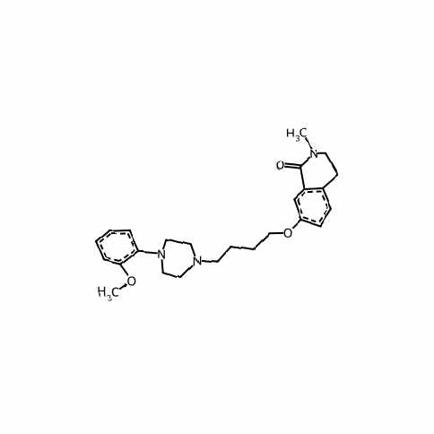 COc1ccccc1N1CCN(CCCCOc2ccc3c(c2)C(=O)N(C)CC3)CC1